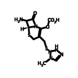 CN1C=NNN1SCC1=C(OC(=O)O)N2C(=O)C(N)[C@@H]2SC1